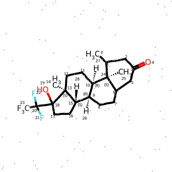 CC1CC(=O)CC2CC[C@@H]3[C@@H](CC[C@@]4(C)[C@H]3CCC4(O)C(F)(F)C(F)(F)F)[C@@]12C